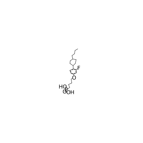 CCCCC1CCC(c2ccc(OCCCCP(=O)(O)O)cc2F)CC1